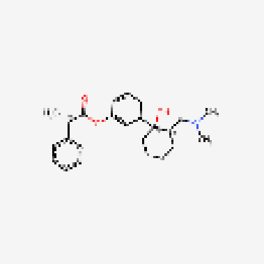 C[C@H](C(=O)OC1=CC([C@@]2(O)CCCC[C@@H]2CN(C)C)CC=C1)c1ccccc1